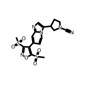 CS(=O)(=O)c1noc(S(C)(=O)=O)c1-c1ccn2c(C3CCN(C#N)C3)cnc2c1